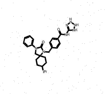 CC(C)C1CCC2(CC1)CN(c1ccccc1)C(=O)N2Cc1ccc(C(=O)NC2=NNNN2)cc1